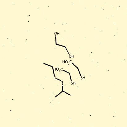 CCOCC(C)C.O=C(O)CS.O=C(O)CS.OCCO